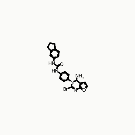 NC1c2ccoc2N=C(Br)N1c1ccc(NC(=O)Nc2ccc3c(c2)CCC3)cc1